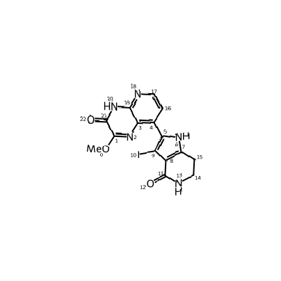 COc1nc2c(-c3[nH]c4c(c3I)C(=O)NCC4)ccnc2[nH]c1=O